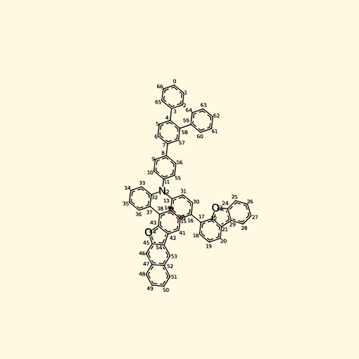 c1ccc(-c2ccc(-c3ccc(N(c4ccc(-c5cccc6c5oc5ccccc56)cc4)c4ccccc4-c4cccc5c4oc4cc6ccccc6cc45)cc3)cc2-c2ccccc2)cc1